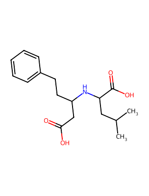 CC(C)CC(NC(CCc1ccccc1)CC(=O)O)C(=O)O